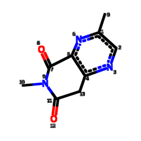 Cc1cnc2c(n1)C(=O)N(C)C(=O)C2